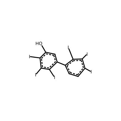 Oc1cc(-c2ccc(I)c(I)c2I)c(I)c(I)c1I